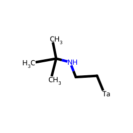 CC(C)(C)NC[CH2][Ta]